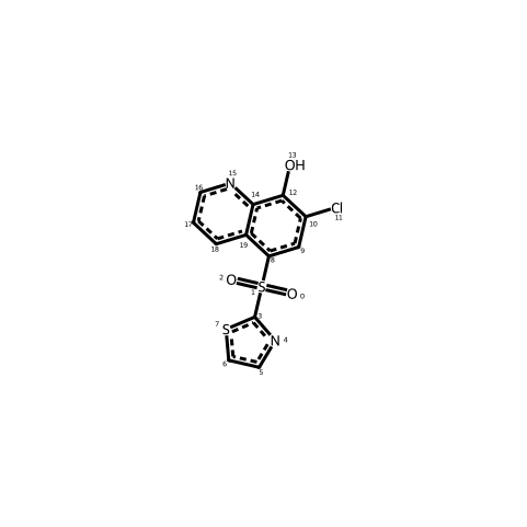 O=S(=O)(c1nccs1)c1cc(Cl)c(O)c2ncccc12